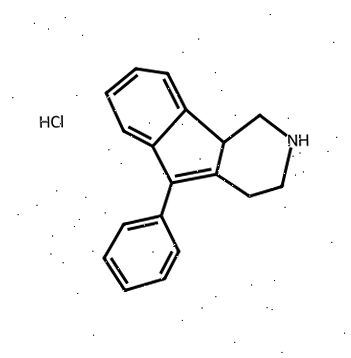 Cl.c1ccc(C2=C3CCNCC3c3ccccc32)cc1